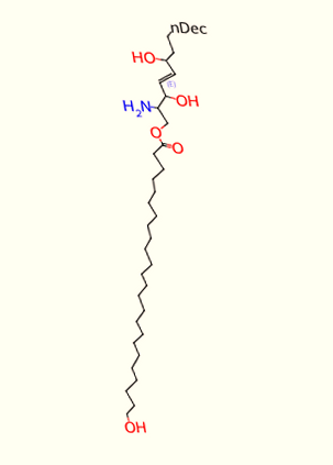 CCCCCCCCCCCCC(O)/C=C/C(O)C(N)COC(=O)CCCCCCCCCCCCCCCCCCCCCCCO